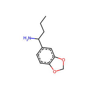 CCCC(N)c1ccc2c(c1)OCO2